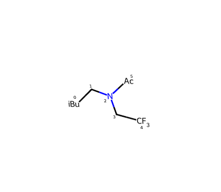 CCC(C)CN(CC(F)(F)F)C(C)=O